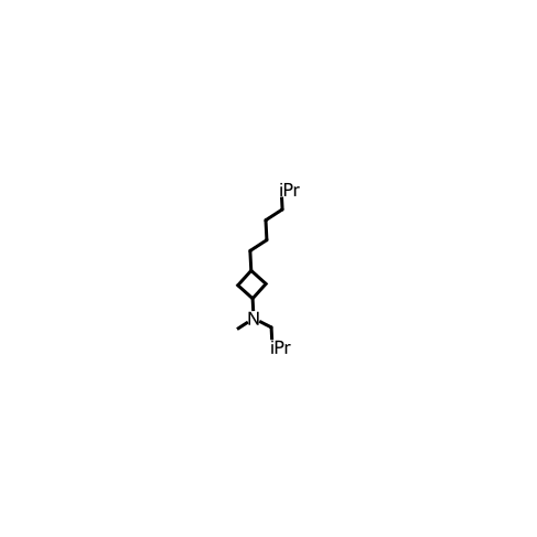 CC(C)CCCCC1CC(N(C)CC(C)C)C1